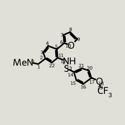 CNCc1ccc(-c2ccco2)c(NSc2ccc(OC(F)(F)F)cc2)c1